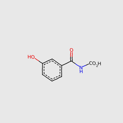 O=C(O)NC(=O)c1cccc(O)c1